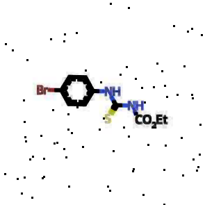 CCOC(=O)NC(=S)Nc1ccc(Br)cc1